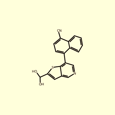 N#Cc1ccc(-c2cncc3cc(C(O)O)sc23)c2ccccc12